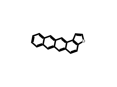 c1ccc2cc3cc4c(ccc5occc54)cc3cc2c1